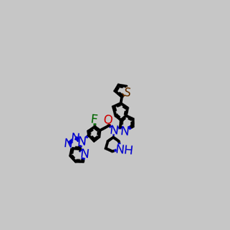 O=C(c1ccc(-n2nnc3cccnc32)cc1F)N(c1nccc2cc(-c3cccs3)ccc12)[C@@H]1CCCNC1